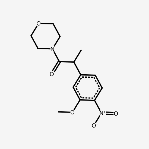 COc1cc(C(C)C(=O)N2CCOCC2)ccc1[N+](=O)[O-]